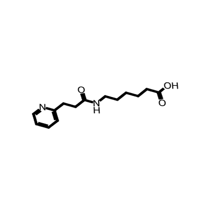 O=C(O)CCCCCNC(=O)CCc1ccccn1